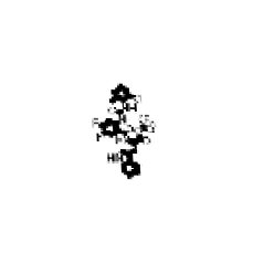 Cc1cccc(Cl)c1NC(=O)Nc1cc(F)c(F)cc1C(=O)N[C@@H](Cc1c[nH]c2ccccc12)C(=O)OC(=O)C(F)(F)F